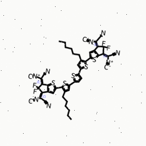 [C-]#[N+]/C(C#N)=C1\c2sc(-c3sc(-c4ccc(-c5cc(CCCCCC)c(-c6cc7c(s6)/C(=C(\C#N)[N+]#[C-])C(F)(F)/C7=C(/C#N)[N+]#[C-])s5)s4)cc3CCCCCC)cc2/C(=C(/C#N)[N+]#[C-])C1(F)F